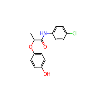 CC(Oc1ccc(O)cc1)C(=O)Nc1ccc(Cl)cc1